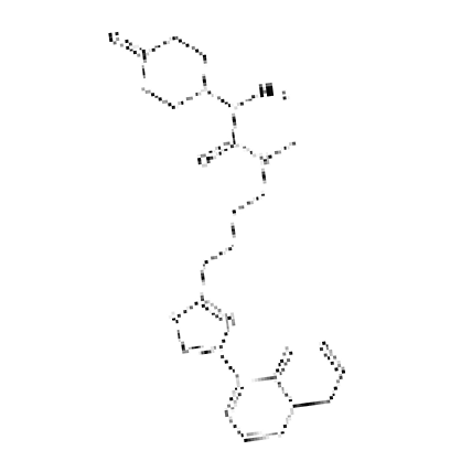 CN(CCCCc1nc(-c2cccc3ccccc23)cs1)C(=O)C(N)C1CCC(=O)CC1